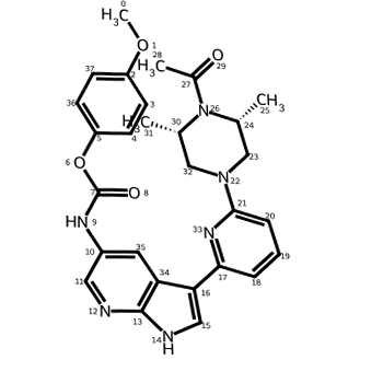 COc1ccc(OC(=O)Nc2cnc3[nH]cc(-c4cccc(N5C[C@@H](C)N(C(C)=O)[C@@H](C)C5)n4)c3c2)cc1